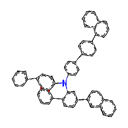 c1ccc(-c2ccc(N(c3ccc(-c4ccc(-c5cccc6ccccc56)cc4)cc3)c3cc(-c4ccc5ccccc5c4)ccc3-c3ccccc3)cc2)cc1